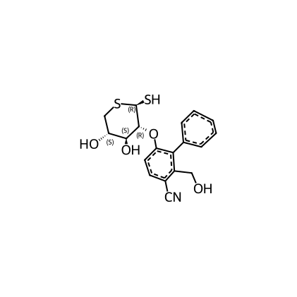 N#Cc1ccc(O[C@@H]2[C@@H](O)[C@H](O)CS[C@H]2S)c(-c2ccccc2)c1CO